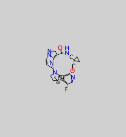 O=C1NCC2(CC2)COc2ncc(F)cc2[C@@]23C[C@@H]2CCN3c2ccn3ncc1c3n2